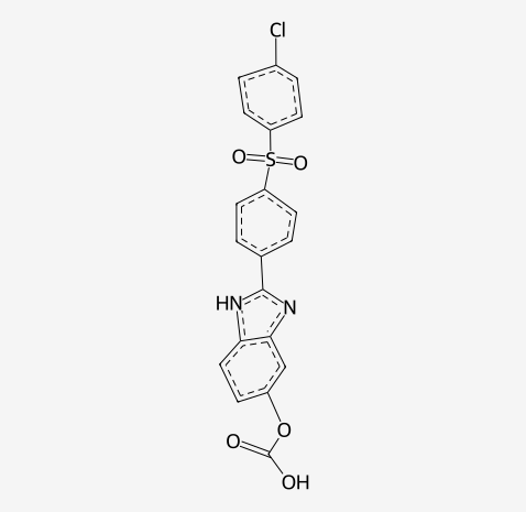 O=C(O)Oc1ccc2[nH]c(-c3ccc(S(=O)(=O)c4ccc(Cl)cc4)cc3)nc2c1